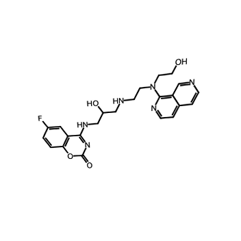 O=c1nc(NCC(O)CNCCN(CCO)c2nccc3ccncc23)c2cc(F)ccc2o1